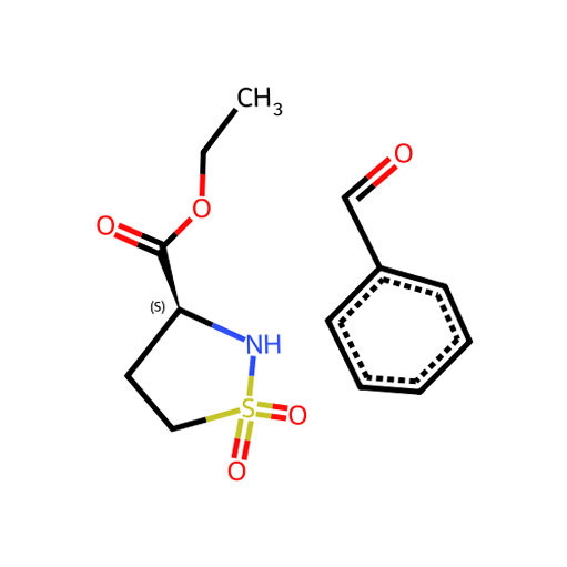 CCOC(=O)[C@@H]1CCS(=O)(=O)N1.O=Cc1ccccc1